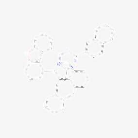 C/C=c1/cccc/c1=C/Cc1nc(-c2ccc3ccccc3c2)nc(-c2cccc3oc4cccc(-c5ccc6ccccc6c5)c4c23)n1